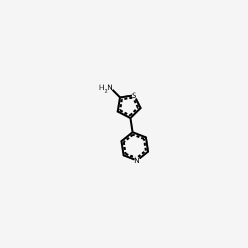 Nc1cc(-c2ccncc2)cs1